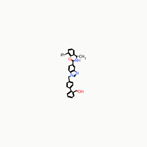 CC(C)c1cccc([C@H](C)NC(=O)c2ccc3c(c2)ncn3Cc2ccc(-c3ccccc3CO)cc2)c1